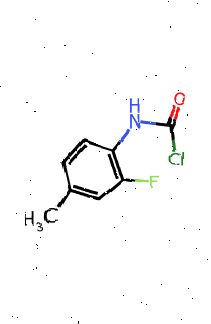 Cc1ccc(NC(=O)Cl)c(F)c1